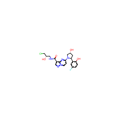 O=C(NC[C@H](O)CCl)c1cnn2ccc(N3C[C@H](O)CC3c3cc(F)ccc3O)nc12